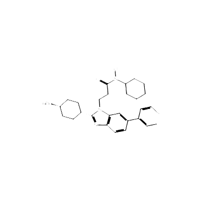 C/C=C\C(=C/C)c1ccc2nc([C@H]3CC[C@H](CCC)CC3)n(CCC(=O)N(CC)C3CCCCC3)c2c1